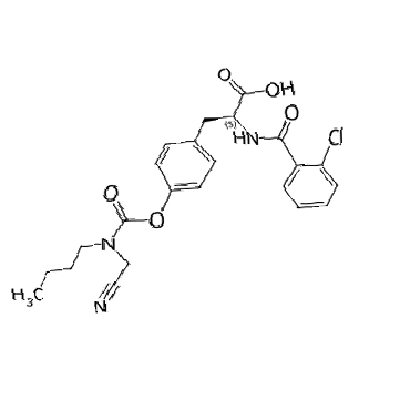 CCCCN(CC#N)C(=O)Oc1ccc(C[C@H](NC(=O)c2ccccc2Cl)C(=O)O)cc1